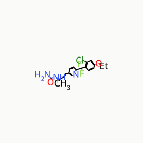 CCOc1ccc(C(F)(F)c2ccc(/C=C/[C@H](C)NC(N)=O)cn2)c(Cl)c1